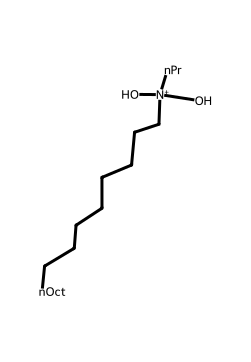 CCCCCCCCCCCCCCCC[N+](O)(O)CCC